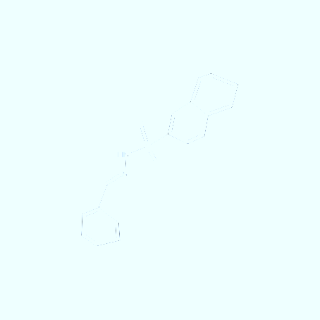 O=S(=O)(NN=Cc1ccccc1)c1ccc2ccccc2c1